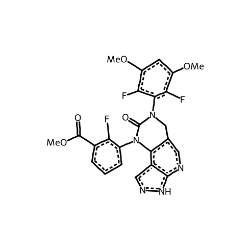 COC(=O)c1cccc(N2C(=O)N(c3c(F)c(OC)cc(OC)c3F)Cc3cnc4[nH]ncc4c32)c1F